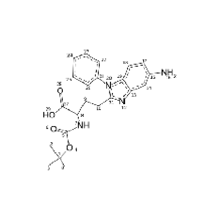 CC(C)(C)OC(=O)NC(CCc1nc2cc(N)ccc2n1-c1ccccc1)C(=O)O